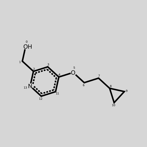 OCc1cc(OCCC2CC2)ccn1